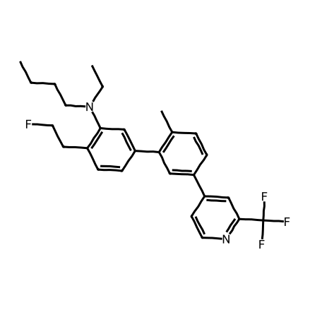 CCCCN(CC)c1cc(-c2cc(-c3ccnc(C(F)(F)F)c3)ccc2C)ccc1CCF